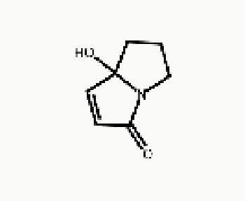 O=C1C=CC2(O)CCCN12